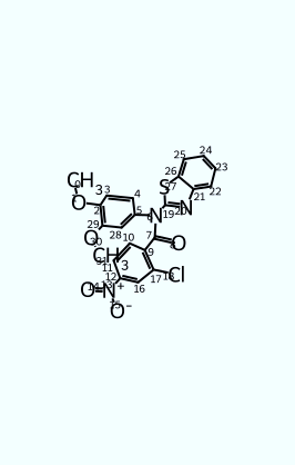 COc1ccc(N(C(=O)c2ccc([N+](=O)[O-])cc2Cl)c2nc3ccccc3s2)cc1OC